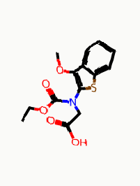 CCOC(=O)N(CC(=O)O)c1sc2ccccc2c1OC